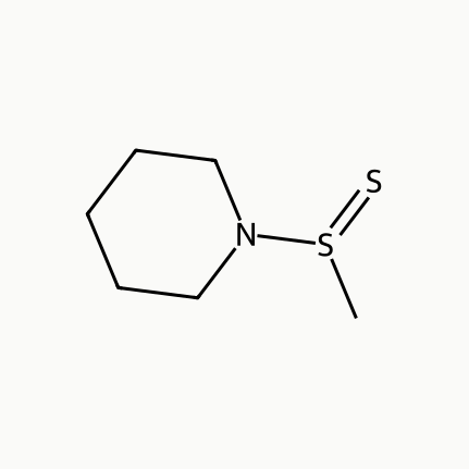 CS(=S)N1CCCCC1